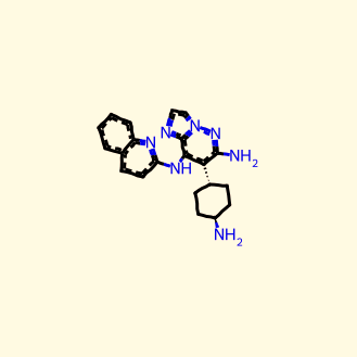 Nc1nn2ccnc2c(Nc2ccc3ccccc3n2)c1[C@H]1CC[C@H](N)CC1